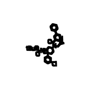 CC(C)(C)OC(=O)NC[C@]1(c2cccc(Cl)c2)CC[C@H](N(CC2CC2)C(=O)c2cncc(-c3ccccc3)c2)CC1